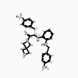 Cc1ccc(CNc2ccccc2N[C@@H](Cc2ccc(C)cc2)C(=O)N2CC3(COC3)C2)cc1